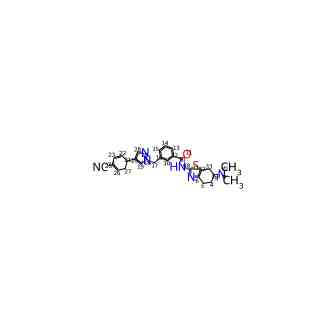 CN(C)[C@H]1CCc2nc(NC(=O)c3cccc(Cn4cc(C5C=CC(C#N)=CC5)cn4)c3)sc2C1